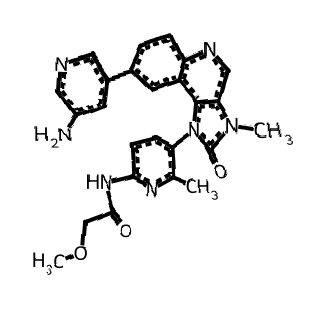 COCC(=O)Nc1ccc(-n2c(=O)n(C)c3cnc4ccc(-c5cncc(N)c5)cc4c32)c(C)n1